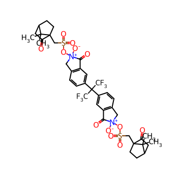 CC1(C)C2CCC1(CS(=O)(=O)O[N+]1([O-])Cc3ccc(C(c4ccc5c(c4)C(=O)[N+]([O-])(OS(=O)(=O)CC46CCC(CC4=O)C6(C)C)C5)(C(F)(F)F)C(F)(F)F)cc3C1=O)C(=O)C2